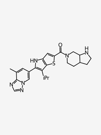 Cc1cc(-c2[nH]c3cc(C(=O)N4CCC5CCNC5C4)sc3c2C(C)C)cn2ncnc12